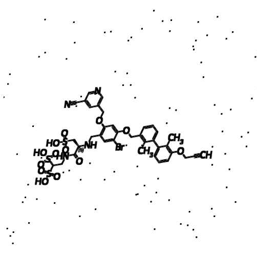 C#CCOc1cccc(-c2cccc(COc3cc(OCc4cncc(C#N)c4)c(CN[C@H](CS(=O)(=O)O)C(=O)NCC(S(=O)(=O)O)S(=O)(=O)O)cc3Br)c2C)c1C